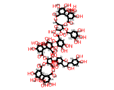 O=C(OC1C(OC(=O)c2cc(O)c(O)c(O)c2Oc2cc3c(c(O)c2O)-c2c(cc(O)c(O)c2O)C(=O)OC(C2OC(=O)c4cc(O)c(O)c(O)c4-c4c(cc(O)c(O)c4O)C(=O)OCC2O)C(C(O)c2c(O)cc4c(c2O)CC(O)C(c2ccc(O)c(O)c2)O4)OC3=O)C(O)OC2COC(=O)c3cc(O)c(O)c(O)c3-c3c(cc(O)c(O)c3O)C(=O)OC21)c1cc(O)c(O)c(O)c1